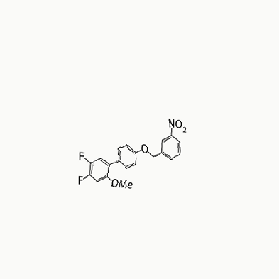 COc1cc(F)c(F)cc1-c1ccc(OCc2cccc([N+](=O)[O-])c2)cc1